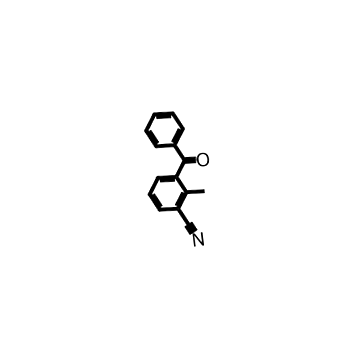 Cc1c(C#N)cccc1C(=O)c1ccccc1